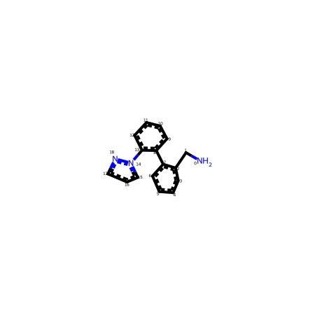 NCc1ccccc1-c1ccccc1-n1cccn1